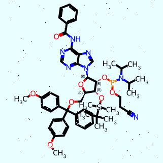 COc1ccc(C(OC[C@H]2O[C@@H](n3cnc4c(NC(=O)c5ccccc5)ncnc43)[C@H](OP(OCCC#N)N(C(C)C)C(C)C)[C@@H]2O[Si](C)(C)C(C)(C)C)(c2ccccc2)c2ccc(OC)cc2)cc1